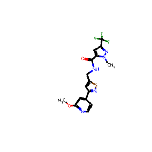 COc1cc(-c2cc(CNC(=O)c3cc(C(F)(F)F)nn3C)sn2)ccn1